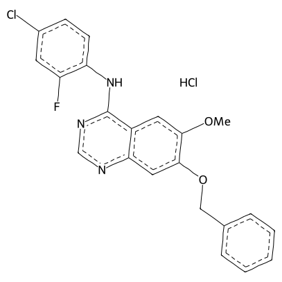 COc1cc2c(Nc3ccc(Cl)cc3F)ncnc2cc1OCc1ccccc1.Cl